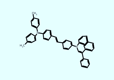 Cc1ccc(N(c2ccc(C)cc2)c2ccc(/C=C/c3ccc(N(C=C(c4ccccc4)c4ccccc4)c4ccccc4)cc3)cc2)cc1